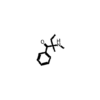 CCC(C)(NC)C(=O)c1ccccc1